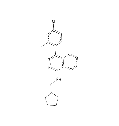 Cc1cc(Cl)ccc1-c1nnc(NCC2CCCO2)c2ccccc12